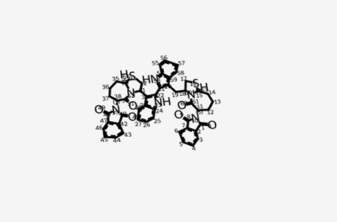 O=C1c2ccccc2C(=O)N1[C@H]1CCC[C@H]2SCC(Cc3c(-c4[nH]c5ccccc5c4C4CS[C@@H]5CCC[C@H](N6C(=O)c7ccccc7C6=O)C(=O)N45)[nH]c4ccccc34)N2C1=O